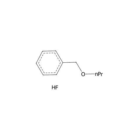 CCCOCc1ccccc1.F